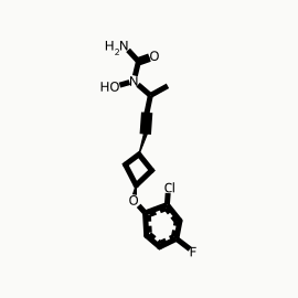 CC(C#C[C@H]1C[C@@H](Oc2ccc(F)cc2Cl)C1)N(O)C(N)=O